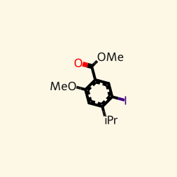 COC(=O)c1cc(I)c(C(C)C)cc1OC